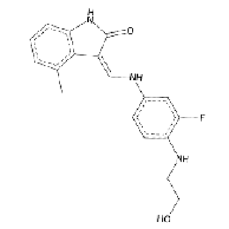 Cc1cccc2c1C(=CNc1ccc(NCCO)c(F)c1)C(=O)N2